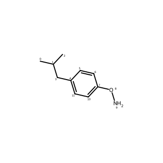 CC(C)Cc1ccc(ON)cc1